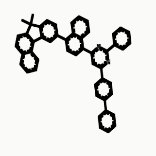 CC1(C)c2ccc(-c3ccc(-c4cc(-c5ccc(-c6ccccc6)cc5)nc(-c5ccccc5)n4)c4ccccc34)cc2-c2c1ccc1ccccc21